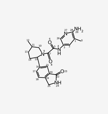 Cc1cc(NC(=O)C(=O)N2CC(C)CCC2c2ccc3c(c2)C(=O)NC3)cnc1N